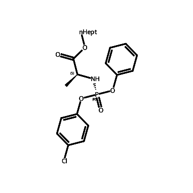 CCCCCCCOC(=O)[C@H](C)N[P@@](=O)(Oc1ccccc1)Oc1ccc(Cl)cc1